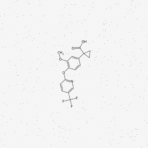 COc1cc(C2(C(=O)O)CC2)ccc1Oc1ccc(C(F)(F)F)cn1